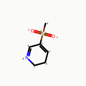 CS(=O)(=O)C1=CCCN=C1